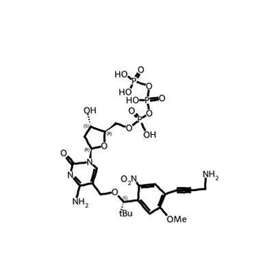 COc1cc([C@@H](OCc2cn([C@H]3C[C@H](O)[C@@H](COP(=O)(O)OP(=O)(O)OP(=O)(O)O)O3)c(=O)nc2N)C(C)(C)C)c([N+](=O)[O-])cc1C#CCN